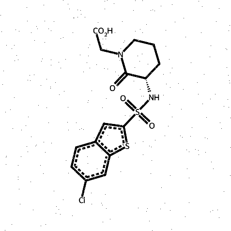 O=C(O)CN1CCC[C@H](NS(=O)(=O)c2cc3ccc(Cl)cc3s2)C1=O